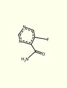 NC(=O)c1ncncc1F